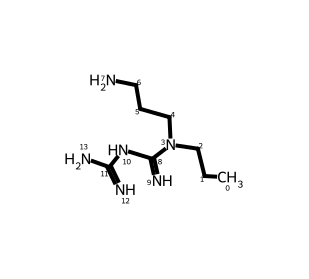 CCCN(CCCN)C(=N)NC(=N)N